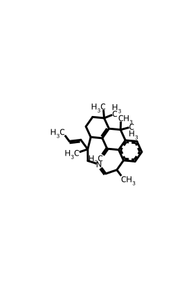 C=C1C2=C3C(C)(C)CCC2C(C)(C=CC)C/N=C/C(C)c2cccc(c21)C3(C)C